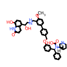 COc1ccc(-c2ccc(COc3cccc([C@H](c4ccccc4)N(C(=O)O)[C@H]4CN5CCC4CC5)c3)cc2)cc1CNC[C@H](O)c1ccc(O)c2[nH]c(=O)ccc12